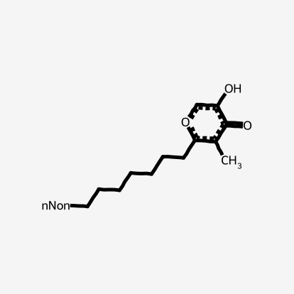 CCCCCCCCCCCCCCCCc1occ(O)c(=O)c1C